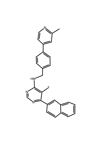 Cc1cc(-c2ccc(CNc3ncnc(-c4ccc5ccccc5c4)c3F)cc2)ccn1